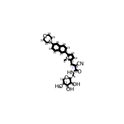 Cn1c(/C=C(\C#N)C(=O)NC[C@H]2OC[C@H](O)[C@@H](O)[C@@H]2O)ccc1-c1ccc2cc(N3CCOCC3)ccc2c1